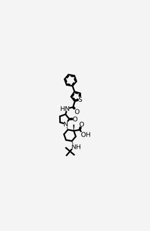 CC(C)(C)N[C@@H]1CC[C@H](N2CCC(NC(=O)c3cc(-c4ccccc4)cs3)C2=O)[C@](C)(C(=O)O)C1